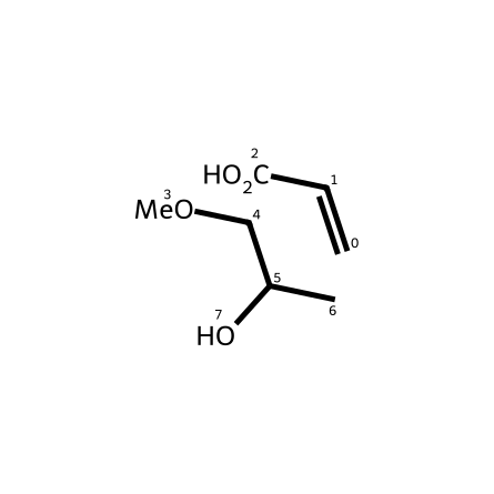 C=CC(=O)O.COCC(C)O